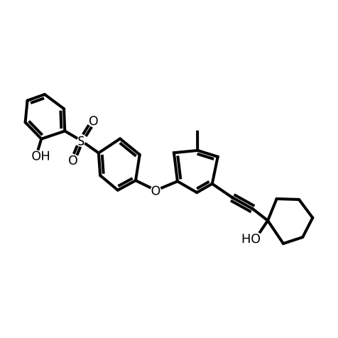 Cc1cc(C#CC2(O)CCCCC2)cc(Oc2ccc(S(=O)(=O)c3ccccc3O)cc2)c1